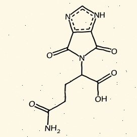 NC(=O)CCC(C(=O)O)N1C(=O)c2nc[nH]c2C1=O